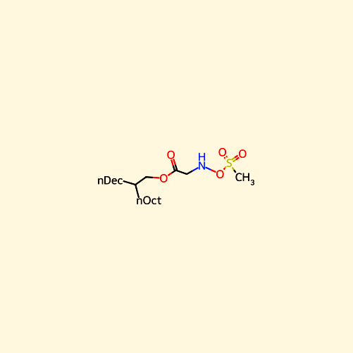 CCCCCCCCCCC(CCCCCCCC)COC(=O)CNOS(C)(=O)=O